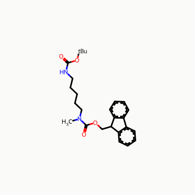 CN(CCCCCNC(=O)OC(C)(C)C)C(=O)OCC1c2ccccc2-c2ccccc21